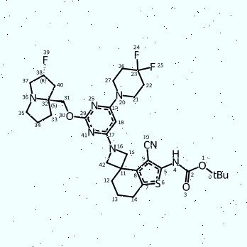 CC(C)(C)OC(=O)Nc1sc2c(c1C#N)C1(CCC2)CN(c2cc(N3CCC(F)(F)CC3)nc(OC[C@@]34CCCN3C[C@H](F)C4)n2)C1